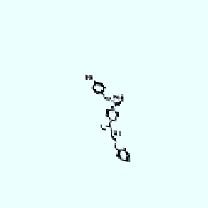 N#Cc1ccc(Cn2cncc2N2CCN(C(=O)NCCCc3ccccc3)CC2)cc1